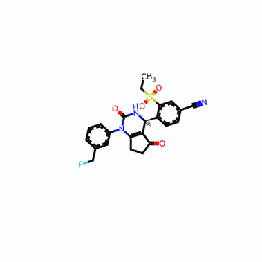 CCS(=O)(=O)c1cc(C#N)ccc1[C@@H]1NC(=O)N(c2cccc(CF)c2)C2=C1C(=O)CC2